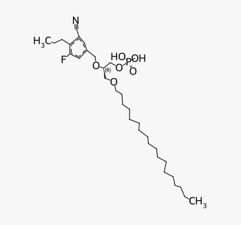 CCCCCCCCCCCCCCCCCCOC[C@H](COP(=O)(O)O)OCc1cc(F)c(CCC)c(C#N)c1